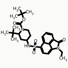 CCN1C(=O)c2cccc3c(S(=O)(=O)NC4CCN(C(=O)OC(C)(C)C)C(C(C)(C)C)C4)ccc1c23